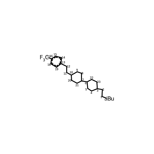 CCC(C)CCC1CCC(C2CCC(CCc3ccc(C(F)(F)F)cc3)CC2)CC1